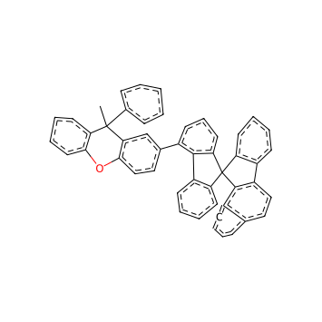 CC1(c2ccccc2)c2ccccc2Oc2ccc(-c3cccc4c3-c3ccccc3C43c4ccccc4-c4ccc5ccccc5c43)cc21